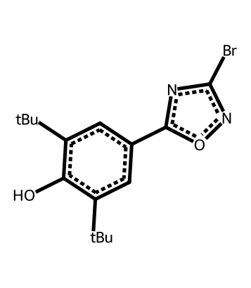 CC(C)(C)c1cc(-c2nc(Br)no2)cc(C(C)(C)C)c1O